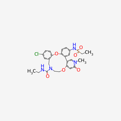 CCNC(=O)N1CCOc2cc(=O)n(C)cc2-c2cc(NS(=O)(=O)CC)ccc2Oc2ccc(Cl)cc2C1